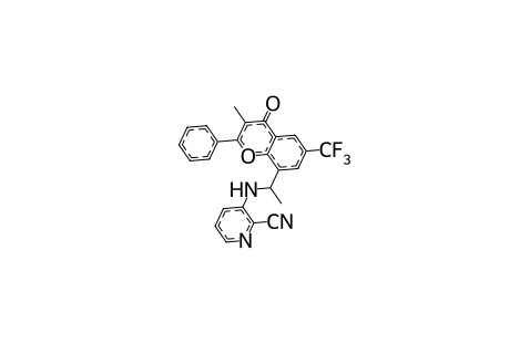 Cc1c(-c2ccccc2)oc2c(C(C)Nc3cccnc3C#N)cc(C(F)(F)F)cc2c1=O